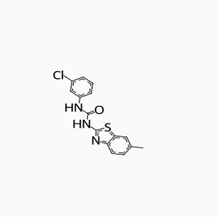 Cc1ccc2nc(NC(=O)Nc3cccc(Cl)c3)sc2c1